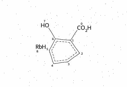 O=C(O)c1ccccc1O.[RbH]